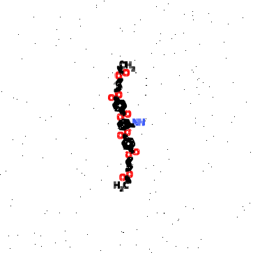 C=CC(=O)OCCCCOC(=O)C1CCC(C(=O)Oc2ccc(OC(=O)C3CCC(C(=O)OCCCCOC(=O)C=C)CC3)c(C=N)c2)CC1